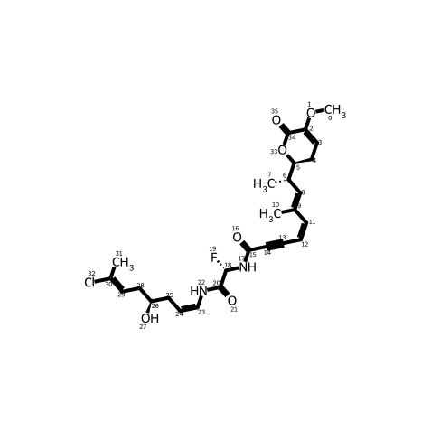 COC1=CC[C@@H]([C@@H](C)/C=C(C)/C=C\C#CC(=O)N[C@@H](F)C(=O)N/C=C\C[C@@H](O)C/C=C(\C)Cl)OC1=O